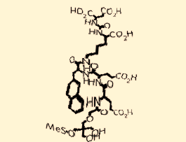 CSOCC(CO)(CO)COCC(=O)NC(CCC(=O)O)C(=O)NC(CCC(=O)O)C(=O)NC(Cc1ccc2ccccc2c1)C(=O)NCCCCC(NC(=O)NC(CC(=O)O)C(=O)O)C(=O)O